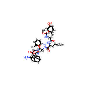 COC(=O)C12CC3CC(CC(N)(C3)C1C(=O)[C@H](Cc1ccccc1)NC(=O)CNC(=O)C(CCSC)NC(=O)[C@H](Cc1ccc(O)cc1)NC(=O)OC(C)(C)C)C2